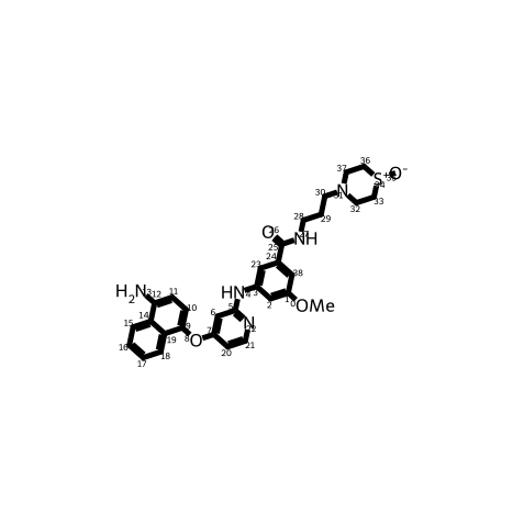 COc1cc(Nc2cc(Oc3ccc(N)c4ccccc34)ccn2)cc(C(=O)NCCCN2CC[S+]([O-])CC2)c1